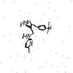 Fc1ccc(NCc2c[nH]nc2-c2ccc(C(F)(F)F)cc2)cn1